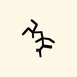 CCC(C)(CC)CC(C)(CC)C(=O)NC